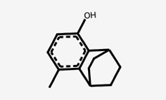 Cc1ccc(O)c2c1C1CCC2CC1